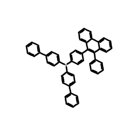 c1ccc(-c2ccc(N(c3ccc(-c4ccccc4)cc3)c3ccc(-c4c(-c5ccccc5)c5ccccc5c5ccccc45)cc3)cc2)cc1